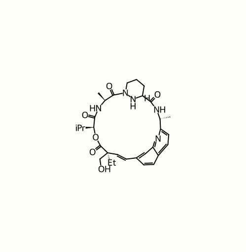 CC[C@@]1(CO)/C=C/c2ccc3ccc(nc3c2)[C@@H](C)NC(=O)[C@@H]2CCCN(N2)C(=O)[C@H](C)NC(=O)[C@H](C(C)C)OC1=O